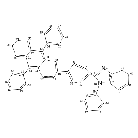 C1=Cc2c(nc(-c3ccc(-c4ccc5c(-c6ccccc6)c6c(c(-c7ccccc7)c5c4)=CCCC=6)cc3)n2-c2ccccc2)CC1